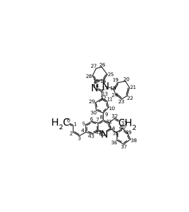 C=C/C=C\c1ccc2c(-c3ccc(-c4nc5c(n4C4=CCC=CC=C4)=CCCC=5)cc3)c(C=C)c(-c3ccccc3)nc2c1